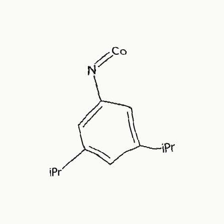 CC(C)c1cc([N]=[Co])cc(C(C)C)c1